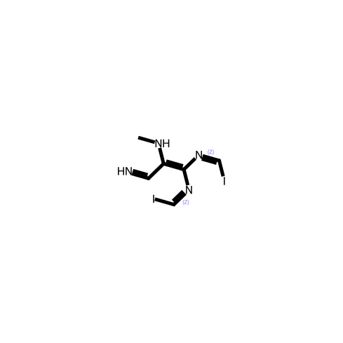 CNC(C=N)=C(/N=C\I)/N=C\I